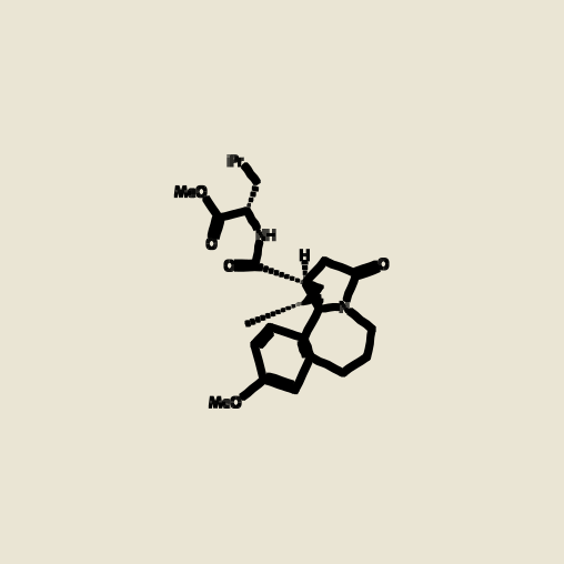 COC(=O)[C@H](CC(C)C)NC(=O)[C@@H]1[C@@H](C)C[C@@]23c4ccc(OC)cc4CCCN2C(=O)C[C@@H]13